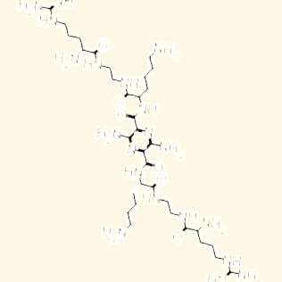 N=C(N)NCCCC(N)C(=O)NCCNC(=O)[C@H](CCCCN)NC(=O)c1nc(N)c(C(=O)NC(CCCCN)C(=O)NCCNC(=O)[C@@H](N)CCCNC(=N)N)nc1N